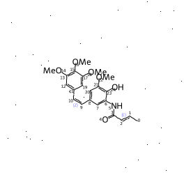 C/C=C/C(=O)Nc1cc(/C=C\c2cc(OC)c(OC)c(OC)c2)cc(OC)c1O